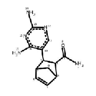 NC(=O)C1C2C=CC(C2)C1c1cnc(N)nc1N